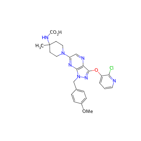 COc1ccc(Cn2nc(Oc3cccnc3Cl)c3ncc(N4CCC(C)(NC(=O)O)CC4)nc32)cc1